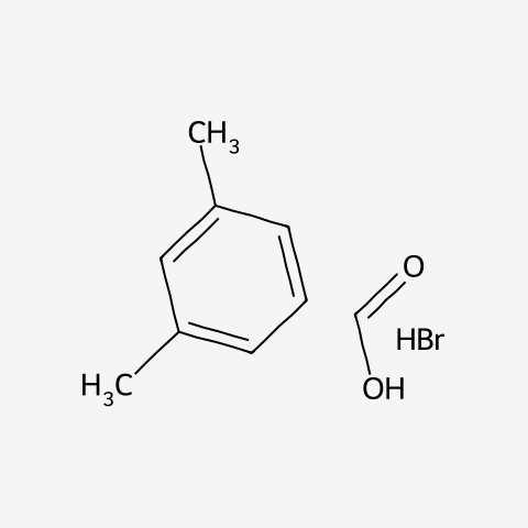 Br.Cc1cccc(C)c1.O=CO